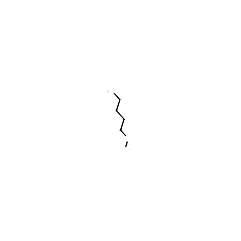 CCC(C)CCCCOC=O